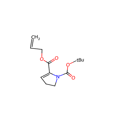 C=CCOC(=O)C1=CCCN1C(=O)OC(C)(C)C